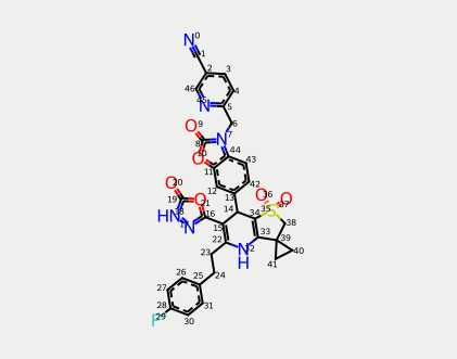 N#Cc1ccc(Cn2c(=O)oc3cc(C4C(c5n[nH]c(=O)o5)=C(CCc5ccc(F)cc5)NC5=C4S(=O)(=O)CC54CC4)ccc32)nc1